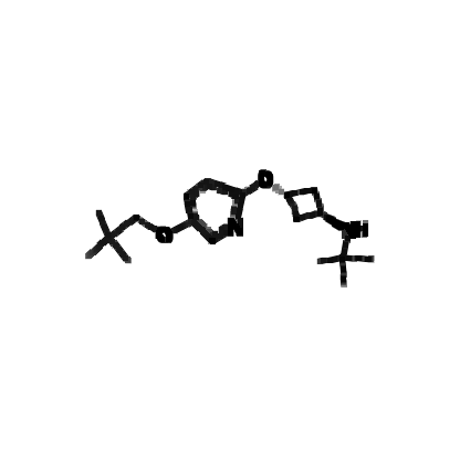 CC(C)(C)COc1ccc(O[C@H]2C[C@H](NC(C)(C)C)C2)nc1